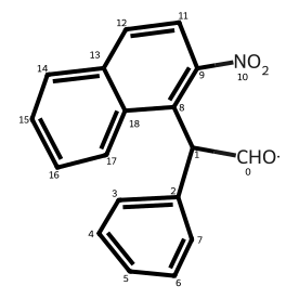 O=[C]C(c1ccccc1)c1c([N+](=O)[O-])ccc2ccccc12